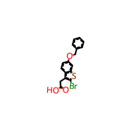 O=C(O)Cc1c(Br)sc2cc(OCc3ccccc3)ccc12